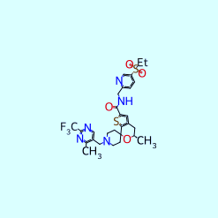 CCS(=O)(=O)c1ccc(CNC(=O)c2cc3c(s2)C2(CCN(Cc4cnc(C(F)(F)F)nc4C)CC2)O[C@H](C)C3)nc1